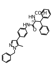 Cc1c(-c2ccc(NC(=O)[C@@H](NC(=O)O)C(c3ccccc3)c3ccccc3)cc2)cnn1Cc1ccccc1